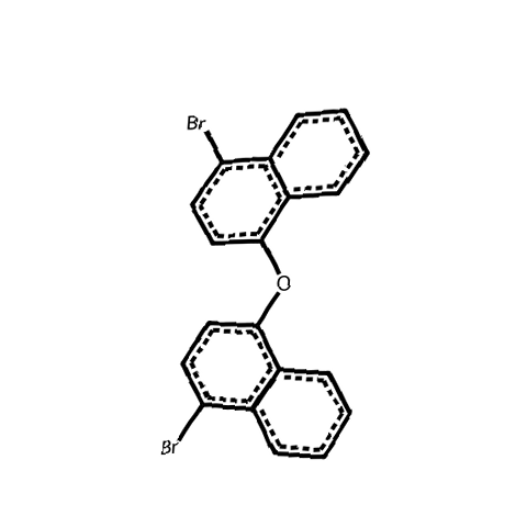 Brc1ccc(Oc2ccc(Br)c3ccccc23)c2ccccc12